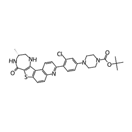 C[C@@H]1CNc2c(sc3ccc4nc(-c5ccc(N6CCN(C(=O)OC(C)(C)C)CC6)cc5Cl)ccc4c23)C(=O)N1